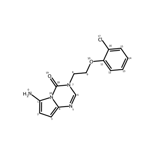 Nc1ccc2ncn(CCOc3ccccc3Cl)c(=O)n12